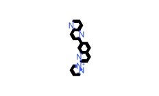 c1cc[n+](-c2ccc3ccc(-c4ccc5ncccc5n4)cc3n2)nc1